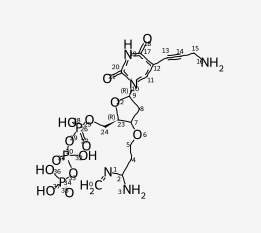 C=NC(N)CCOC1C[C@H](n2cc(C#CCN)c(=O)[nH]c2=O)O[C@@H]1COP(=O)(O)OP(=O)(O)OP(=O)(O)O